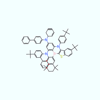 CC(C)(C)c1ccc(N2c3cc(N(c4ccc(-c5ccccc5)cc4)C4C=CC#CC4)cc4c3B(c3cc5c(cc3N4c3ccc(C(C)(C)C)cc3-c3ccccc3)C(C)(C)CCC5(C)C)c3sc4ccc(C(C)(C)C)cc4c32)cc1